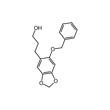 OCCCc1cc2c(cc1OCc1ccccc1)OCO2